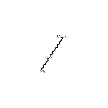 CCCCCCCC(=O)OCCCCCCCCCCC(C)C